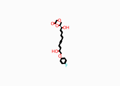 O=C1COC[C@@H](C(O)/C=C/C=C/C#C/C=C/C(O)COc2ccc(F)cc2)O1